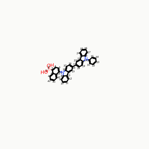 OB(O)c1ccc(-n2c3ccccc3c3cc(-c4ccc5c(c4)c4ccccc4n5-c4ccccc4)ccc32)c2ccccc12